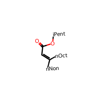 CCCCCCCCCC(=CC(=O)OC(C)CCC)CCCCCCCC